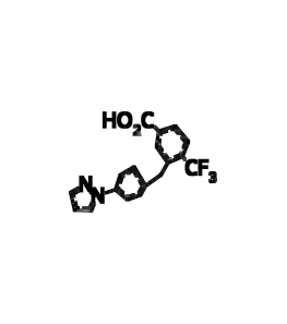 O=C(O)c1ccc(C(F)(F)F)c(Cc2ccc(-n3cccn3)cc2)c1